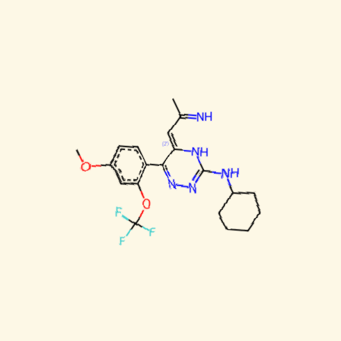 COc1ccc(C2=NN=C(NC3CCCCC3)N/C2=C\C(C)=N)c(OC(F)(F)F)c1